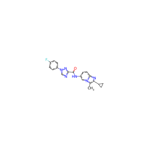 Cc1c(C2CC2)nc2ccc(NC(=O)c3ncn(-c4ccc(F)cc4)n3)cn12